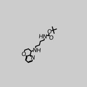 CC(C)(C)OC(=O)NCCCCNC1CCOc2cccnc21